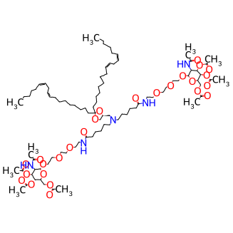 CCCCC/C=C\C/C=C\CCCCCCCCC1(CCCCCCCC/C=C\C/C=C\CCCCC)OC[C@H](CN(CCCCCC(=O)NCCOCCOCCO[C@@H]2OC(COC(C)=O)[C@H](OC(C)=O)C(OC(C)=O)C2NC(C)=O)CCCCCC(=O)NCCOCCOCCO[C@@H]2OC(COC(C)=O)[C@H](OC(C)=O)C(OC(C)=O)C2NC(C)=O)O1